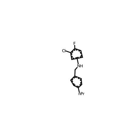 CCCc1ccc(CNc2ccc(F)c(Cl)c2)cc1